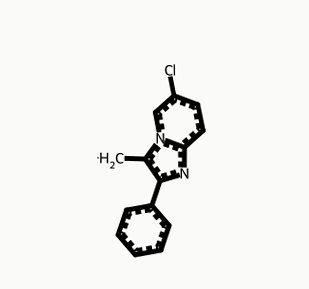 [CH2]c1c(-c2ccccc2)nc2ccc(Cl)cn12